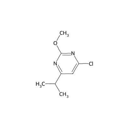 COc1nc(Cl)cc(C(C)C)n1